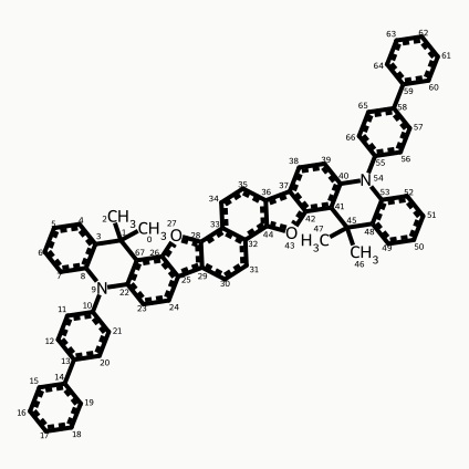 CC1(C)c2ccccc2N(c2ccc(-c3ccccc3)cc2)c2ccc3c(oc4c3ccc3c4ccc4c5ccc6c(c5oc43)C(C)(C)c3ccccc3N6c3ccc(-c4ccccc4)cc3)c21